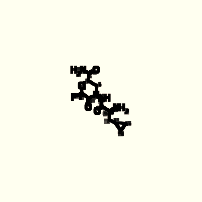 NC(=O)CCN(NC(=O)[C@@H](N)CC1CC1)C(=O)C(F)Cl